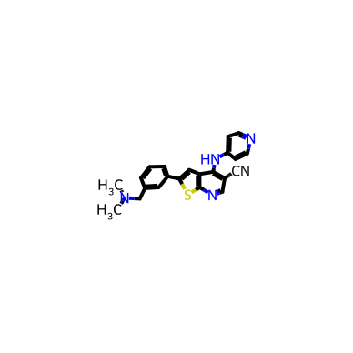 CN(C)Cc1cccc(-c2cc3c(Nc4ccncc4)c(C#N)cnc3s2)c1